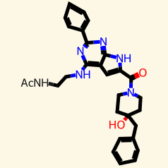 CC(=O)NCCNc1nc(-c2ccccc2)nc2[nH]c(C(=O)N3CCC(O)(Cc4ccccc4)CC3)cc12